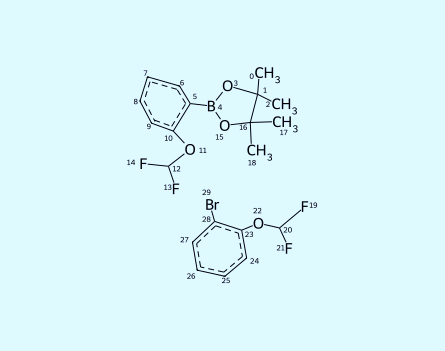 CC1(C)OB(c2ccccc2OC(F)F)OC1(C)C.FC(F)Oc1ccccc1Br